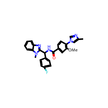 COc1cc(C(=O)NC(c2ccc(F)cc2)c2nc3ccccc3n2C)ccc1-n1cnc(C)c1